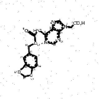 O=C(O)Cn1cnc2c(NC(=O)OCc3ccc4c(c3)OCO4)ncnc21